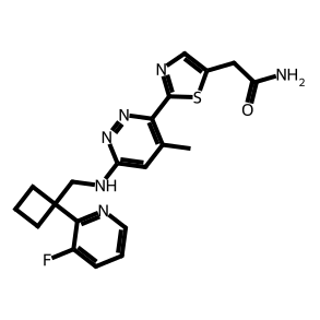 Cc1cc(NCC2(c3ncccc3F)CCC2)nnc1-c1ncc(CC(N)=O)s1